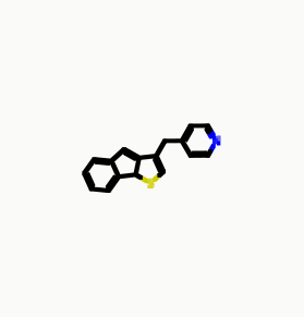 C1=C(Cc2ccncc2)C2=Cc3ccccc3C2S1